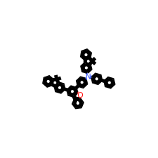 CC1(C)c2ccccc2-c2ccc(-c3cc(-c4ccc(N(c5ccc(-c6ccccc6)cc5)c5ccc6c(c5)C(C)(C)c5ccccc5-6)cc4)c4oc5ccccc5c4c3)cc21